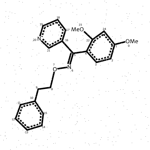 COc1ccc(C(=NOCCc2ccccc2)c2cccnc2)c(OC)c1